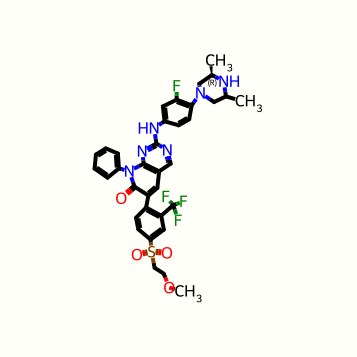 COCCS(=O)(=O)c1ccc(-c2cc3cnc(Nc4ccc(N5CC(C)N[C@H](C)C5)c(F)c4)nc3n(-c3ccccc3)c2=O)c(C(F)(F)F)c1